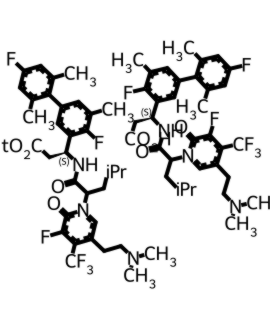 CCOC(=O)C[C@H](NC(=O)C(CC(C)C)n1cc(CCN(C)C)c(C(F)(F)F)c(F)c1=O)c1cc(-c2c(C)cc(F)cc2C)cc(C)c1F.Cc1cc(-c2c(C)cc(F)cc2C)cc([C@H](CC(=O)O)NC(=O)C(CC(C)C)n2cc(CCN(C)C)c(C(F)(F)F)c(F)c2=O)c1F